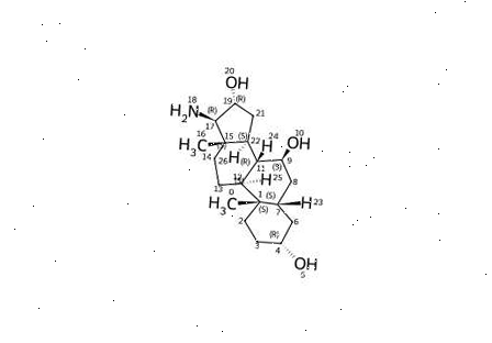 C[C@]12CC[C@@H](O)C[C@H]1C[C@H](O)[C@@H]1[C@@H]2CC[C@]2(C)[C@@H](N)[C@H](O)C[C@@H]12